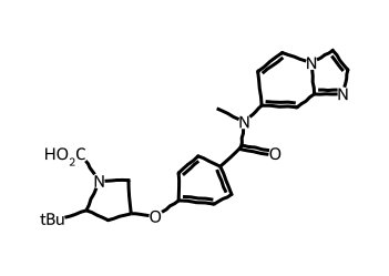 CN(C(=O)c1ccc(OC2CC(C(C)(C)C)N(C(=O)O)C2)cc1)c1ccn2ccnc2c1